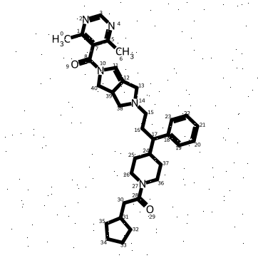 Cc1ncnc(C)c1C(=O)N1C=C2CN(CCC(c3ccccc3)C3CCN(C(=O)CC4CCCC4)CC3)CC2C1